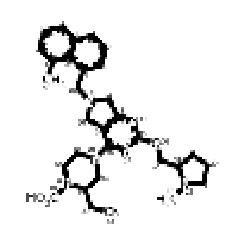 Cc1cccc2cccc(CN3Cc4nc(OCC5CCCN5C)nc(N5CCN(C(=O)O)C(CC#N)C5)c4C3)c12